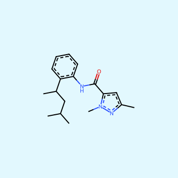 Cc1cc(C(=O)Nc2ccccc2C(C)CC(C)C)n(C)n1